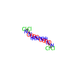 CN1Cc2c(Cl)cc(Cl)cc2C(c2ccc3c(c2)C(=O)N(CCOCCOCCNC(=O)Nc2ccc(NC(=O)NCCOCCOCCN4Cc5ccc(C6CN(C)Cc7c(Cl)cc(Cl)cc76)cc5C4=O)cc2)C3)C1